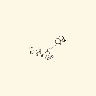 CCC(CC)CC(=O)NC(CCN(CCCCc1ccc2c(n1)NCCC2)CCS(C)(=O)=O)C(=O)O